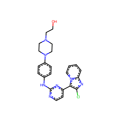 OCCN1CCN(c2ccc(Nc3nccc(-c4c(Cl)nc5ccccn45)n3)cc2)CC1